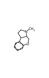 CN1CCC2c3ccccc3OCC21